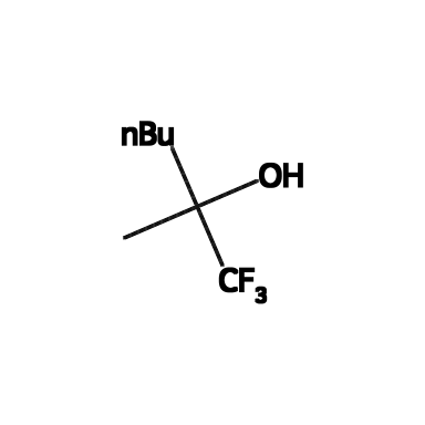 CCCCC(C)(O)C(F)(F)F